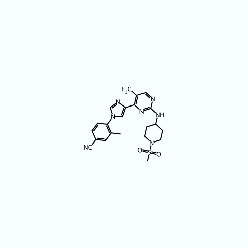 Cc1cc(C#N)ccc1-n1cnc(-c2nc(NC3CCN(S(C)(=O)=O)CC3)ncc2C(F)(F)F)c1